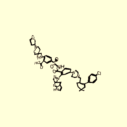 CC1(C)CCC(CN2CCN(c3ccc(C(=O)NS(=O)(=O)c4ccc(NCC5(F)CCN(C6CCOC6)CC5)c(C(=O)O)c4)c(-n4ncc5nc6[nH]ccc6cc54)c3)CC2)=C(c2ccc(Cl)cc2)C1